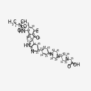 CCN(C)S(=O)(=O)Nc1ccc(F)c(C(=O)c2c[nH]c3ncc(-c4ccc(N5CCN(C6CCN(CC(=O)O)CC6)CC5)cc4)cc23)c1F